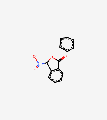 O=C1OC([N+](=O)[O-])c2ccccc21.c1ccccc1